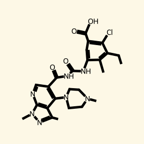 CCc1c(C)c(NC(=O)NC(=O)c2cnc3c(c(C)nn3C)c2N2CCN(C)CC2)cc(C(=O)O)c1Cl